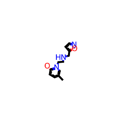 Cc1ccc(=O)n(CCNCc2ccno2)c1